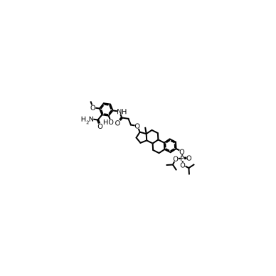 COc1ccc(NC(=O)CCOC2CCC3C4CCc5cc(OP(=O)(OC(C)C)OC(C)C)ccc5C4CCC23C)c(O)c1C(N)=O